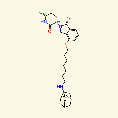 O=C1CC[C@H](N2Cc3c(SCCCCCCCNC45CC6CC(CC4C6)C5)cccc3C2=O)C(=O)N1